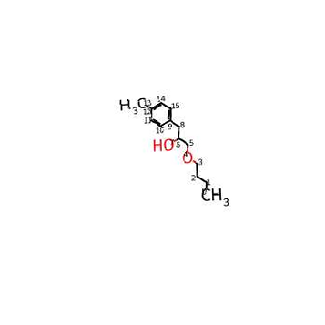 CCCCOCC(O)Cc1ccc(C)cc1